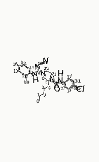 CCCCCC1CN(/C(=N\C#N)Nc2ccccc2C)CCN1C(=O)Nc1ccc(Cl)cc1